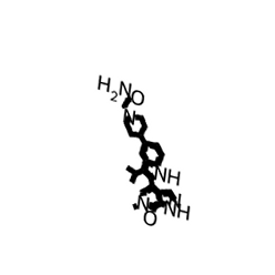 CC(C)c1c(-c2cn(C)c(=O)c3[nH]ncc23)[nH]c2ccc(C3CCN(CC(N)=O)CC3)cc12